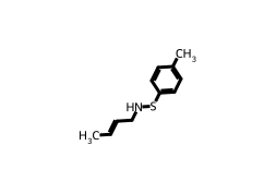 C/C=C/CNSc1ccc(C)cc1